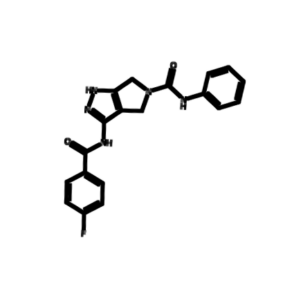 O=C(Nc1n[nH]c2c1CN(C(=O)Nc1ccccc1)C2)c1ccc(F)cc1